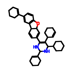 C1=CC(C2=C(C3=CC4Oc5ccc(C6=CCCCC6)cc5C4C=C3)NC(C3=CCCCC3)NC2C2CCCCC2)CCC1